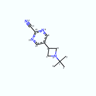 CC(C)(C)N1CC(c2cnc(C#N)nc2)C1